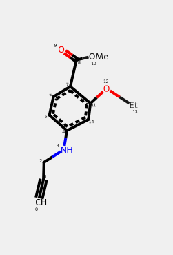 C#CCNc1ccc(C(=O)OC)c(OCC)c1